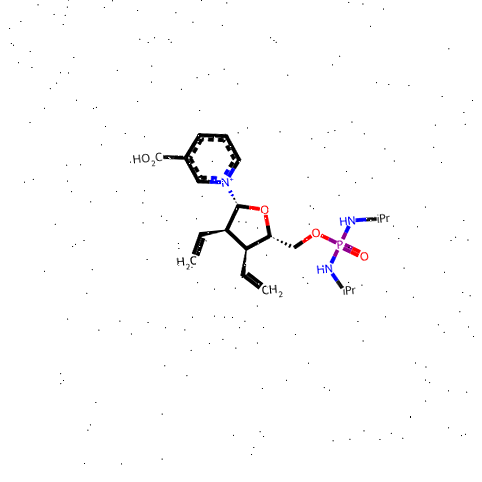 C=C[C@@H]1[C@H](C=C)[C@@H](COP(=O)(NC(C)C)NC(C)C)O[C@H]1[n+]1cccc(C(=O)O)c1